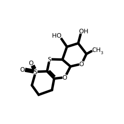 CC1OC2OC3=C(SC2C(O)C1O)S(=O)(=O)CCC3